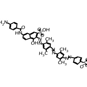 Cc1cc(N=Nc2cc(C)c(N=Nc3c(S(=O)(=O)O)cc4cc(NC(=O)c5ccc(N)cc5)ccc4c3O)cc2C)c(C)cc1N=Nc1ccc(S(=O)(=O)O)cc1